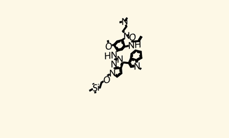 C=CC(=O)Nc1cc(Nc2nc(-c3cn(C)c4ccccc34)c3ccn(COCC[Si](C)(C)C)c3n2)c(OC)cc1N(C)CCN(C)C